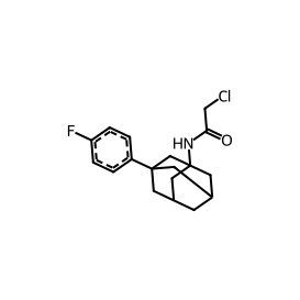 O=C(CCl)NC12CC3CC(C1)CC(c1ccc(F)cc1)(C3)C2